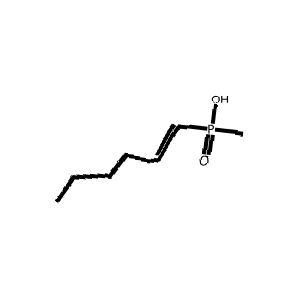 CCCCC=CP(C)(=O)O